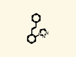 C(=Cc1ccccc1-n1ccnn1)c1ccccc1